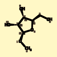 CO[C@@H]1O[C@H](CO)[C@@H](O)[C@H]1O